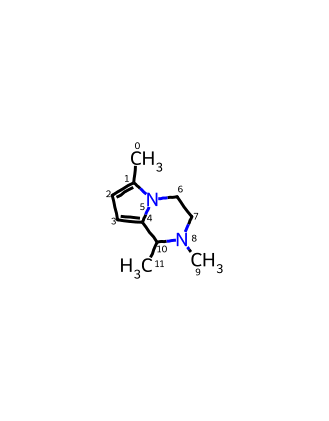 Cc1ccc2n1CCN(C)C2C